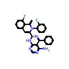 C=C1c2c(F)cccc2C=C(CNc2ncnc(N)c2C(=N)c2ccccc2)N1c1ccccc1F